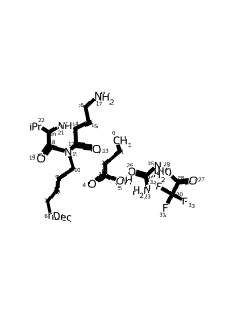 CCCC(=O)O.CCCCCCCCCCCCCCN(C(=O)CCCN)C(=O)C(N)C(C)C.NC(N)=O.O=C(O)C(F)(F)F